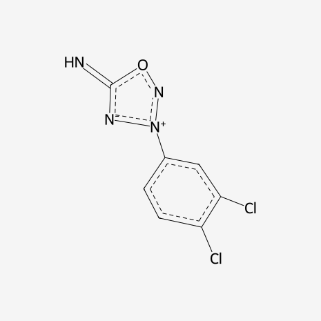 N=c1[n-][n+](-c2ccc(Cl)c(Cl)c2)no1